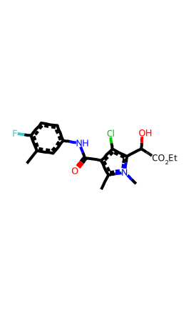 CCOC(=O)C(O)c1c(Cl)c(C(=O)Nc2ccc(F)c(C)c2)c(C)n1C